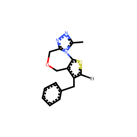 CCc1sc2c(c1Cc1ccccc1)COCc1nnc(C)n1-2